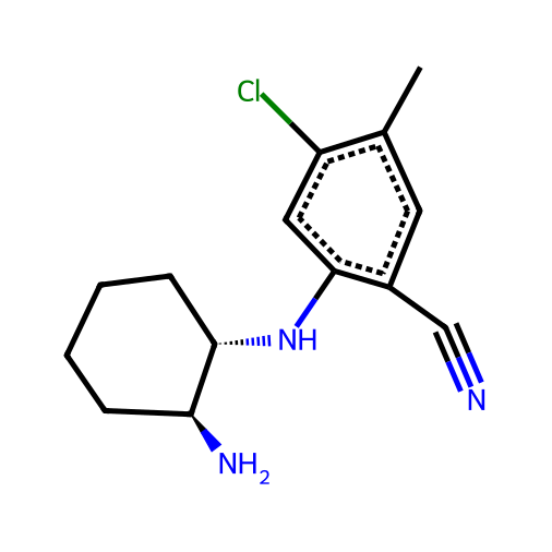 Cc1cc(C#N)c(N[C@H]2CCCC[C@@H]2N)cc1Cl